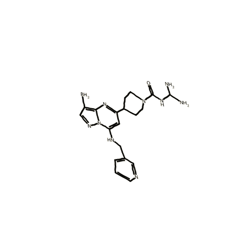 Bc1cnn2c(NCc3cccnc3)cc(C3CCN(C(=O)NC(N)N)CC3)nc12